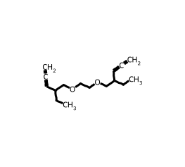 C=C=CC(CC)COCCOCC(C=C=C)CC